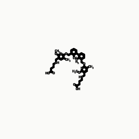 COc1nc(OCc2cccc(-c3cccc(COc4nc(OC)c(CNCCCC(=O)O)cc4C)c3C)c2C)c(C)cc1CNCCCC(=O)O